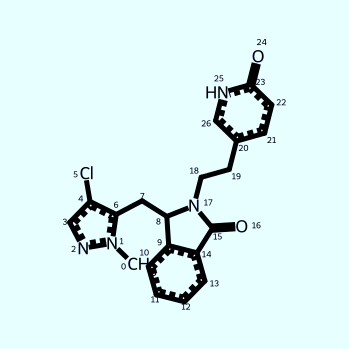 Cn1ncc(Cl)c1CC1c2ccccc2C(=O)N1CCc1ccc(=O)[nH]c1